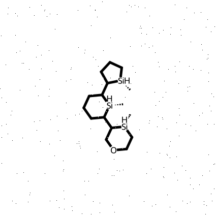 C[Si@@H]1C(C2COCC[Si@H]2C)CCCC1C1CCC[Si@@H]1C